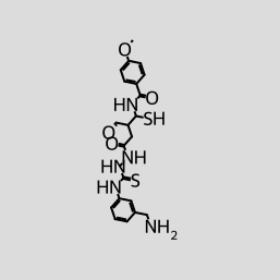 COc1ccc(C(=O)NC(S)C(C=O)CC(=O)NNC(=S)Nc2cccc(CN)c2)cc1